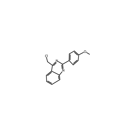 COc1ccc(-c2nc(CCl)c3ccccc3n2)cc1